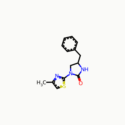 Cc1csc(N2CC(Cc3ccccc3)NC2=O)n1